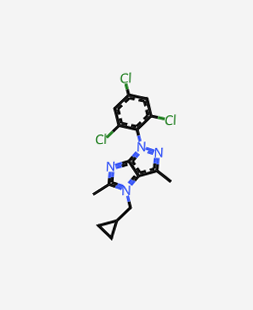 Cc1nn(-c2c(Cl)cc(Cl)cc2Cl)c2nc(C)n(CC3CC3)c12